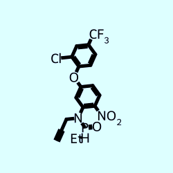 C#CCN(c1cc(Oc2ccc(C(F)(F)F)cc2Cl)ccc1[N+](=O)[O-])[PH](=O)CC